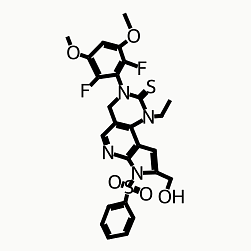 CCN1C(=S)N(c2c(F)c(OC)cc(OC)c2F)Cc2cnc3c(cc(CO)n3S(=O)(=O)c3ccccc3)c21